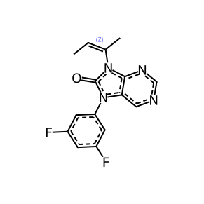 C/C=C(/C)n1c(=O)n(-c2cc(F)cc(F)c2)c2cncnc21